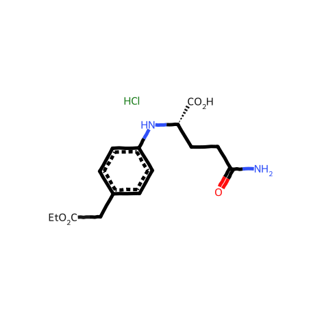 CCOC(=O)Cc1ccc(N[C@@H](CCC(N)=O)C(=O)O)cc1.Cl